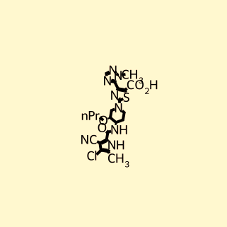 CCCO[C@H]1CN(c2nc(-c3ncnn3C)c(C(=O)O)s2)CC[C@H]1NC(=O)c1[nH]c(C)c(Cl)c1C#N